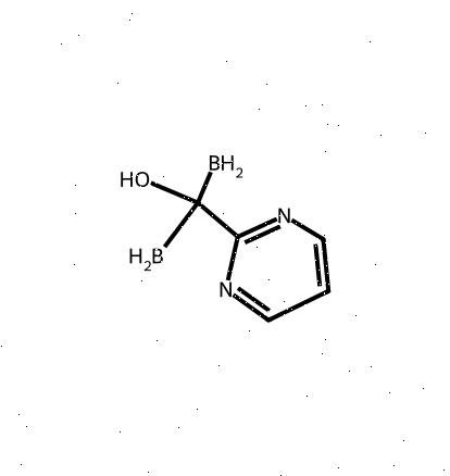 BC(B)(O)c1ncccn1